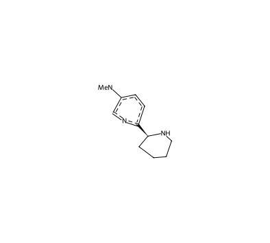 CNc1ccc([C@@H]2CCCCN2)nc1